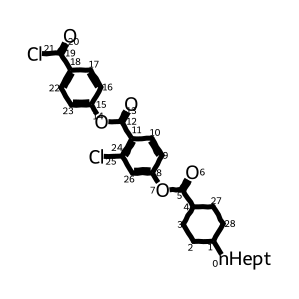 CCCCCCCC1CCC(C(=O)Oc2ccc(C(=O)Oc3ccc(C(=O)Cl)cc3)c(Cl)c2)CC1